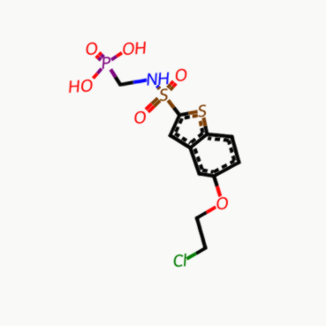 O=P(O)(O)CNS(=O)(=O)c1cc2cc(OCCCl)ccc2s1